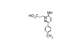 Cc1ccc(-c2ccc(=N)n(CCC(=O)O)n2)cc1